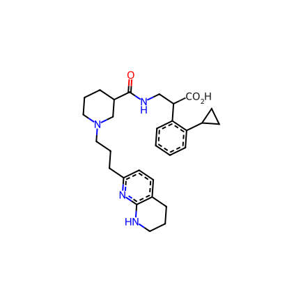 O=C(NCC(C(=O)O)c1ccccc1C1CC1)C1CCCN(CCCc2ccc3c(n2)NCCC3)C1